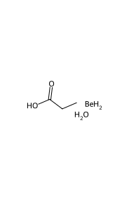 CCC(=O)O.O.[BeH2]